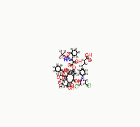 CC(=O)O[C@@]12CO[C@@H]1C[C@H](O)[C@@]1(C)C(=O)[C@H](O)C3=C(C)[C@@H](OC(=O)[C@H](O)[C@@H](NC(=O)OC(C)(C)C)c4ccccc4)C[C@@](O)([C@@H](OC(=O)c4ccccc4)[C@H]21)C3(C)C.O=C(O)CCCc1ccc(N(CCCl)CCCl)cc1